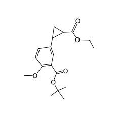 CCOC(=O)C1CC1c1ccc(OC)c(C(=O)OC(C)(C)C)c1